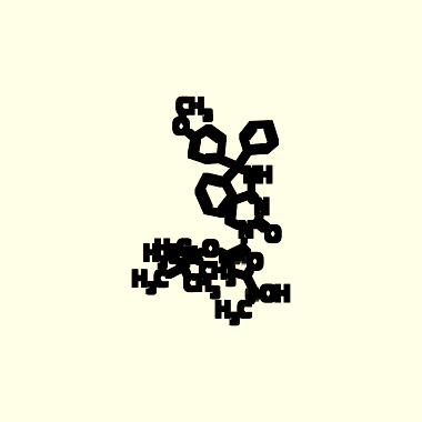 COc1ccc(C(Nc2ccn([C@@H]3OC([C@H](C)O)C[C@H]3O[Si](C)(C)C(C)(C)C)c(=O)n2)(c2ccccc2)c2ccccc2)cc1